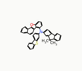 CC1(C)c2ccccc2-c2ccc(N(c3ccc4c(c3)sc3ccccc34)c3cccc4oc5c6ccccc6ccc5c34)cc21